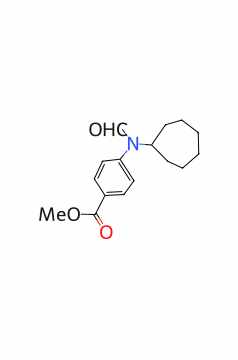 COC(=O)c1ccc(N(C=O)C2CCCCCC2)cc1